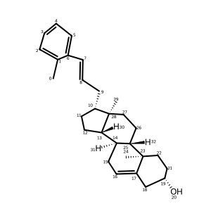 Cc1ccccc1/C=C/C[C@H]1CC[C@H]2[C@@H]3CC=C4C[C@@H](O)CC[C@]4(C)[C@H]3CC[C@]12C